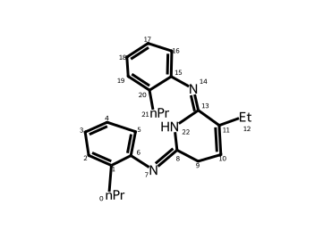 CCCc1ccccc1N=C1CC=C(CC)C(=Nc2ccccc2CCC)N1